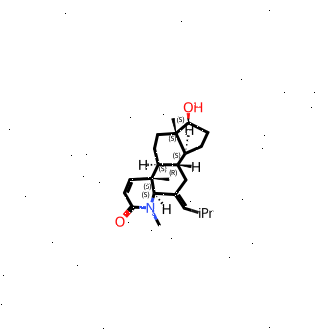 CC(C)C=C1C[C@@H]2[C@H](CC[C@]3(C)[C@@H](O)CC[C@@H]23)[C@@]2(C)C=CC(=O)N(C)[C@H]12